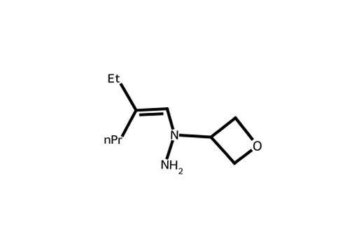 CCC/C(=C\N(N)C1COC1)CC